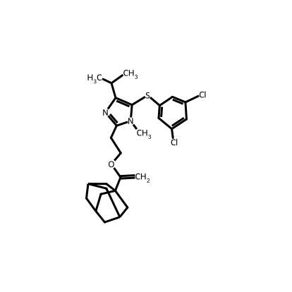 C=C(OCCc1nc(C(C)C)c(Sc2cc(Cl)cc(Cl)c2)n1C)C12CC3CC(CC(C3)C1)C2